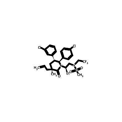 C=CC[C@@]1(C)C[C@H](c2cccc(Cl)c2)[C@@H](c2ccc(Cl)cc2)N([C@H](CC)CN(CC(F)(F)F)S(C)(=O)=O)C1=O